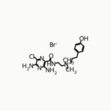 C[N+](C)(CCCc1ccc(O)cc1)CCNC(=O)c1nc(Cl)c(N)nc1N.[Br-]